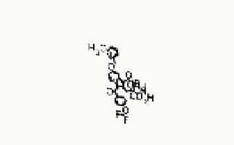 Cc1cccc(COc2ccn3c(C(=O)c4ccc(OC(F)F)cc4)c(CC(C)(C)C(=O)O)c(C(=O)C(C)(C)C)c3c2)n1